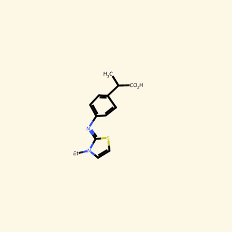 CCn1ccs/c1=N\c1ccc(C(C)C(=O)O)cc1